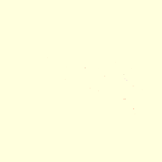 CCCCCOOc1ccc(S(=O)(=O)N(C)C(C)CO)cc1